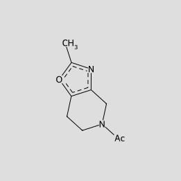 CC(=O)N1CCc2oc(C)nc2C1